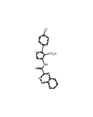 O=C(Nc1csc(-c2ccc(Cl)cc2)c1C(=O)O)c1nnc2ccccc2n1